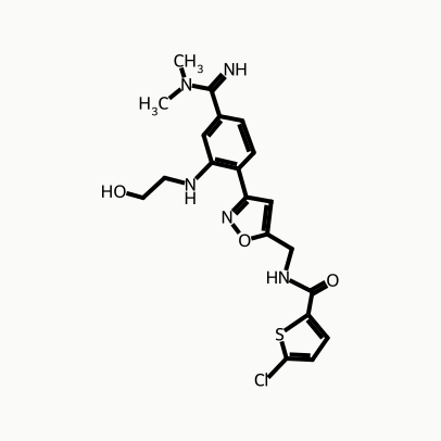 CN(C)C(=N)c1ccc(-c2cc(CNC(=O)c3ccc(Cl)s3)on2)c(NCCO)c1